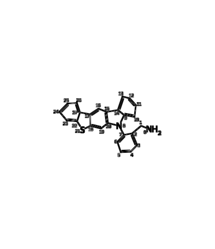 NCc1ccccc1-n1c2ccccc2c2cc3c(cc21)sc1ccccc13